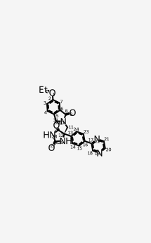 CCOc1ccc2c(c1)C(=O)N(C[C@@]1(c3ccc(-c4cnccn4)cc3)NC(=O)NC1=O)C2